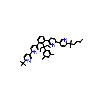 CCCCC(C)(C)c1ccc(-c2ccc(-c3cccc(-c4ccc(-c5ccc(C(C)(C)C)nc5)nc4)c3C(CC)(CC)c3cc(C)cc(C)c3)cn2)cn1